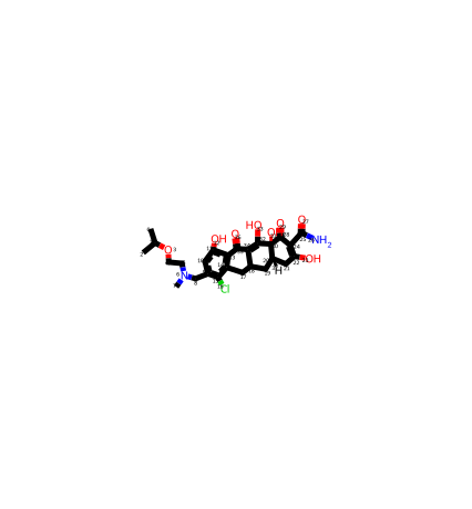 CC(C)OCCN(C)Cc1cc(O)c2c(c1Cl)CC1C[C@H]3CC(O)=C(C(N)=O)C(=O)[C@@]3(O)C(O)=C1C2=O